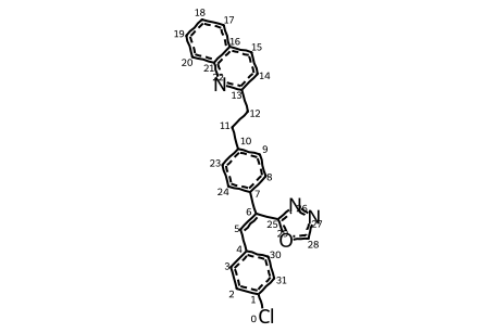 Clc1ccc(C=C(c2ccc(CCc3ccc4ccccc4n3)cc2)c2nnco2)cc1